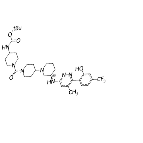 Cc1cc(N[C@@H]2CCCN(C3CCN(C(=O)N4CCC(NC(=O)OC(C)(C)C)CC4)CC3)C2)nnc1-c1ccc(C(F)(F)F)cc1O